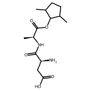 CC1CCC(C)C1OC(=O)[C@H](C)NC(=O)[C@@H](N)CC(=O)O